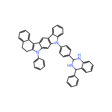 c1ccc(C2NC(c3ccc(-n4c5ccccc5c5cc6c7c(n(-c8ccccc8)c6cc54)CCc4ccccc4-7)cc3)Nc3ccccc32)cc1